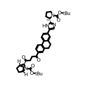 CC(C)(C)OC(=O)N1CCC[C@H]1c1ncc(-c2ccc3c(c2)CCc2cc(C(=O)CCC(=O)[C@@H]4[C@H]5CC[C@H](C5)N4C(=O)OC(C)(C)C)ccc2-3)[nH]1